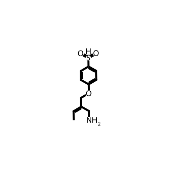 C/C=C(\CN)COc1ccc([SH](=O)=O)cc1